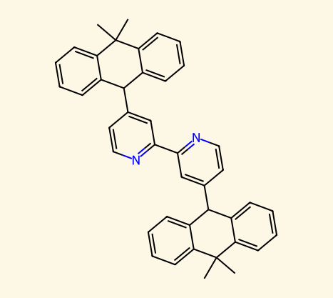 CC1(C)c2ccccc2C(c2ccnc(-c3cc(C4c5ccccc5C(C)(C)c5ccccc54)ccn3)c2)c2ccccc21